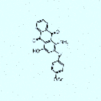 CC(=O)Oc1ccc(Oc2cc(O)c3c(c2N)C(=O)c2ccccc2C3=O)cc1